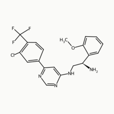 COc1ccccc1[C@@H](N)CNc1cc(-c2ccc(C(F)(F)F)c(Cl)c2)ncn1